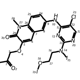 CC(=O)COc1cc2cc(Nc3nc(N(I)CCOI)ncc3Cl)ccc2n(C)c1=O